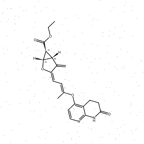 C=C1/C(=C\C=C(/C)Oc2ccnc3c2CCC(=O)N3)O[C@H]2[C@@H]1[C@@H]2C(=O)OCC